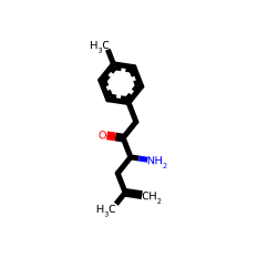 C=C(C)CC(N)C(=O)Cc1ccc(C)cc1